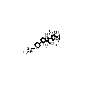 Cc1c(-c2[nH]c3ccc(C4CCN(CCS(C)(=O)=O)CC4)cc3c2C(C)C)cn2ncnc2c1C